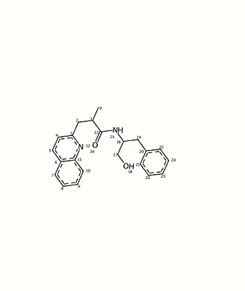 CC(Cc1ccc2ccccc2n1)C(=O)NC(CO)Cc1ccccc1